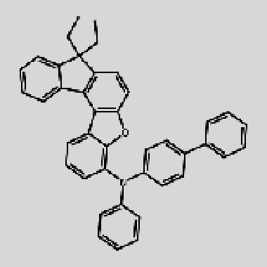 CCC1(CC)c2ccccc2-c2c1ccc1oc3c(N(c4ccccc4)c4ccc(-c5ccccc5)cc4)cccc3c21